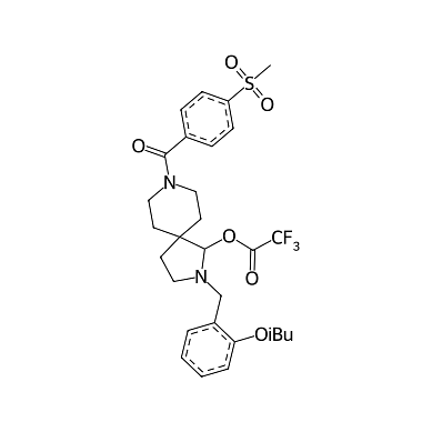 CC(C)COc1ccccc1CN1CCC2(CCN(C(=O)c3ccc(S(C)(=O)=O)cc3)CC2)C1OC(=O)C(F)(F)F